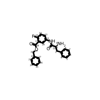 N[C@@H](Cc1ccccc1)C(=O)Nc1ccc(F)c(C(=O)OCc2ccccc2)c1